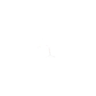 CC(F)O[SH](=O)=O